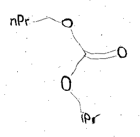 CCCOC(=O)OC(C)C